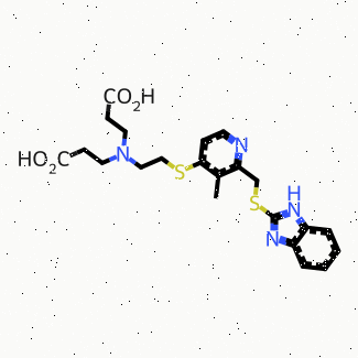 Cc1c(SCCN(CCC(=O)O)CCC(=O)O)ccnc1CSc1nc2ccccc2[nH]1